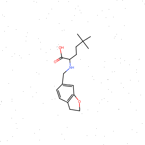 CC(C)(C)CCC(NCc1ccc2c(c1)OCC2)C(=O)O